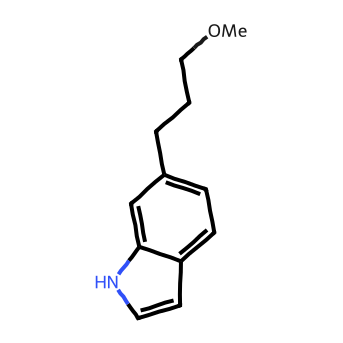 COCCCc1ccc2cc[nH]c2c1